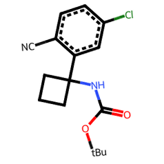 CC(C)(C)OC(=O)NC1(c2cc(Cl)ccc2C#N)CCC1